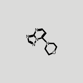 c1cc(N2CCOCC2)n2ncnc2n1